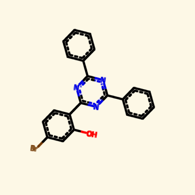 Oc1cc(Br)ccc1-c1nc(-c2ccccc2)nc(-c2ccccc2)n1